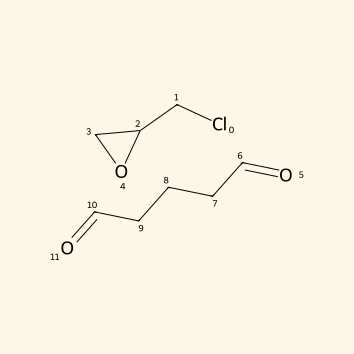 ClCC1CO1.O=CCCCC=O